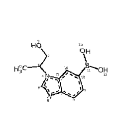 CC(CO)n1cnc2ccc(B(O)O)cc21